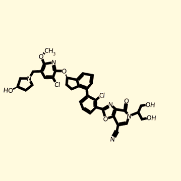 COc1nc(O[C@H]2CCc3c(-c4cccc(-c5nc6c(=O)n(C(CO)CO)cc(C#N)c6o5)c4Cl)cccc32)c(Cl)cc1CN1CC[C@@H](O)C1